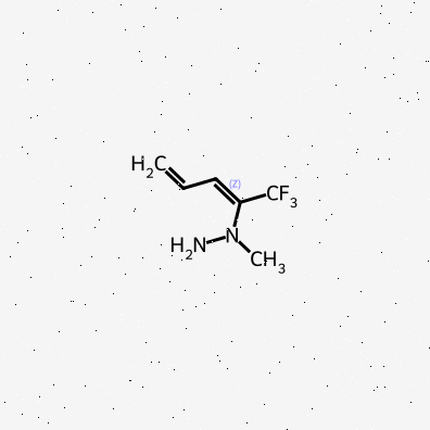 C=C/C=C(\N(C)N)C(F)(F)F